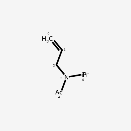 C=CCN(C(C)=O)C(C)C